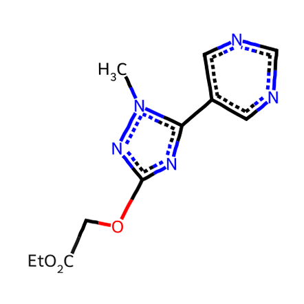 CCOC(=O)COc1nc(-c2cncnc2)n(C)n1